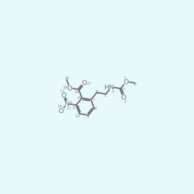 COC(=O)NCCc1cccc([N+](=O)[O-])c1C(=O)OC